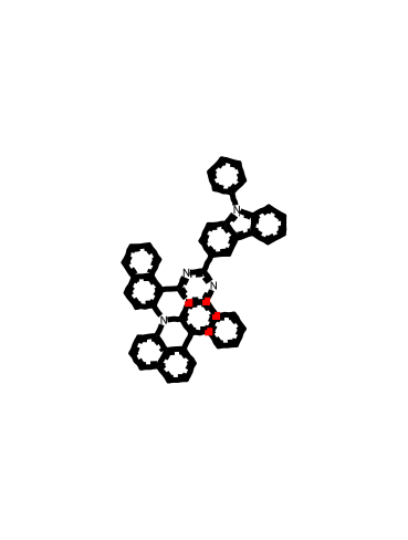 c1ccc(-c2nc(-c3ccc4c(c3)c3ccccc3n4-c3ccccc3)nc(-c3c(N4c5ccccc5-c5cccc6cccc4c56)ccc4ccccc34)n2)cc1